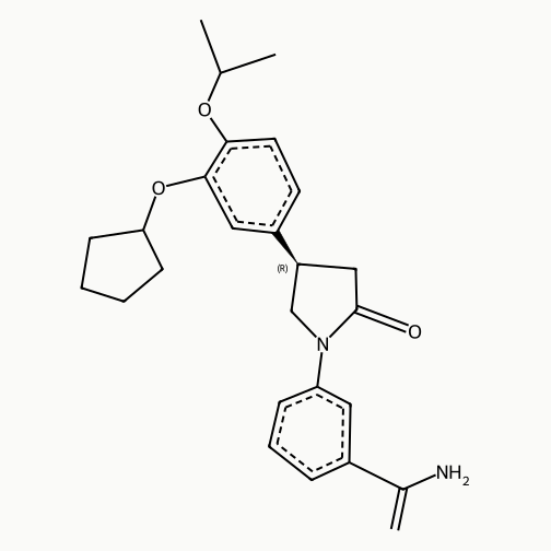 C=C(N)c1cccc(N2C[C@@H](c3ccc(OC(C)C)c(OC4CCCC4)c3)CC2=O)c1